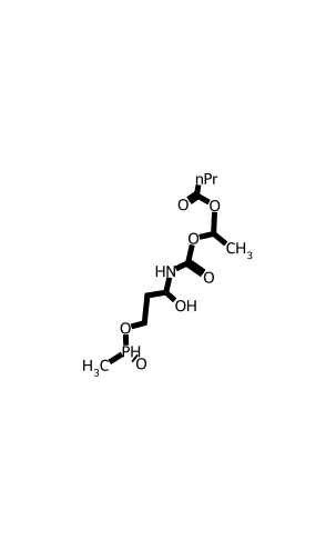 CCCC(=O)OC(C)OC(=O)NC(O)CCO[PH](C)=O